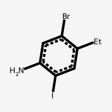 CCc1cc(I)c(N)cc1Br